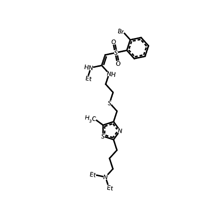 CCNC(=CS(=O)(=O)c1ccccc1Br)NCCSCc1nc(CCCN(CC)CC)sc1C